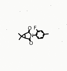 Cc1ccc(N2C(=O)C3C(C2=O)C3(C)C)c(F)c1